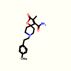 COc1ccc(CCN2CCC3(CC2)OC(=O)C(C)=C3C(N)=O)cc1